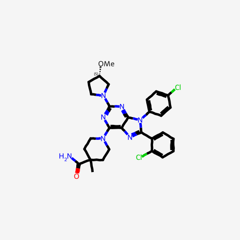 CO[C@H]1CCN(c2nc(N3CCC(C)(C(N)=O)CC3)c3nc(-c4ccccc4Cl)n(-c4ccc(Cl)cc4)c3n2)C1